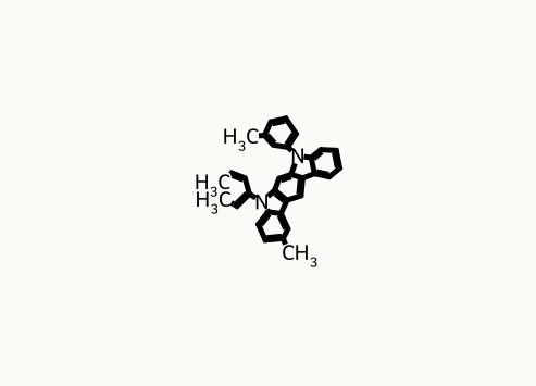 C/C=C\C(=C/C)n1c2ccc(C)cc2c2cc3c4ccccc4n(-c4cccc(C)c4)c3cc21